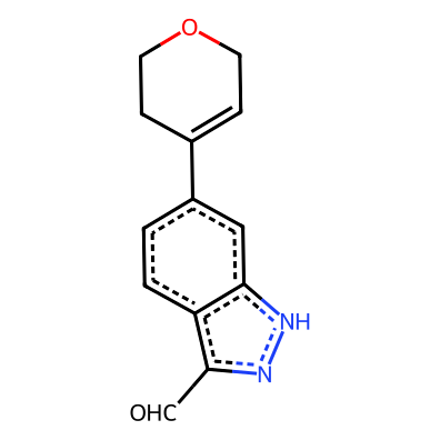 O=Cc1n[nH]c2cc(C3=CCOCC3)ccc12